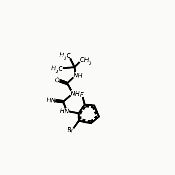 CC(C)(C)NC(=O)NC(=N)Nc1c(F)cccc1Br